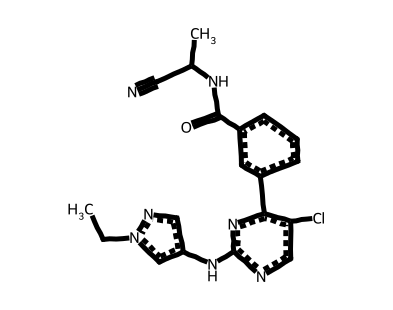 CCn1cc(Nc2ncc(Cl)c(-c3cccc(C(=O)NC(C)C#N)c3)n2)cn1